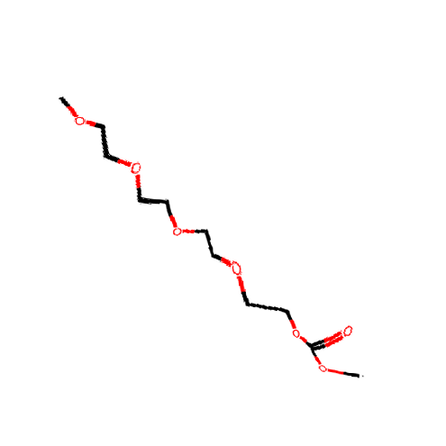 [CH2]OC(=O)OCCOCCOCCOCCOC